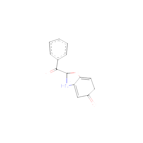 O=C1C=C2NC(C(=O)c3ccccc3)OC2=CC1